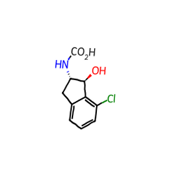 O=C(O)N[C@H]1Cc2cccc(Cl)c2[C@@H]1O